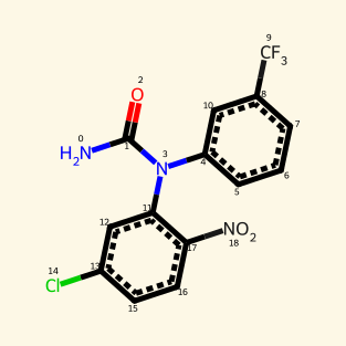 NC(=O)N(c1cccc(C(F)(F)F)c1)c1cc(Cl)ccc1[N+](=O)[O-]